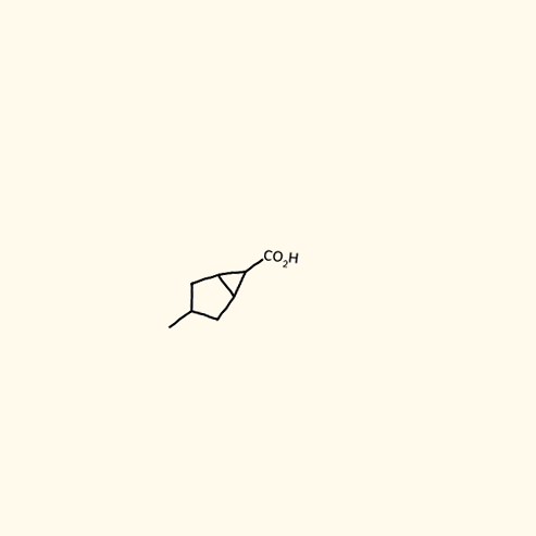 CC1CC2C(C1)C2C(=O)O